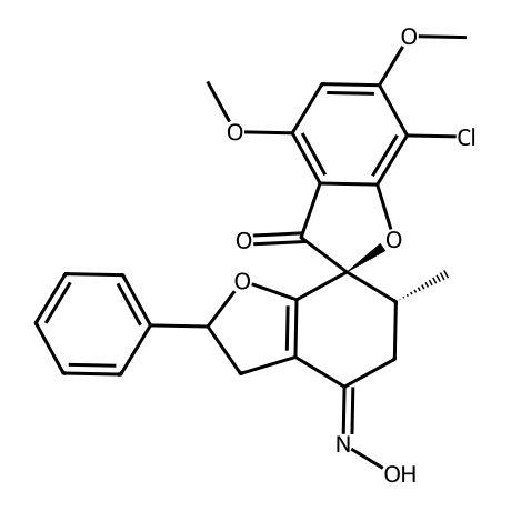 COc1cc(OC)c2c(c1Cl)O[C@]1(C2=O)C2=C(CC(c3ccccc3)O2)/C(=N/O)C[C@H]1C